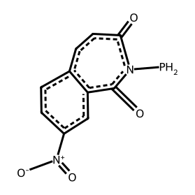 O=c1ccc2ccc([N+](=O)[O-])cc2c(=O)n1P